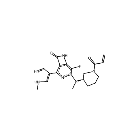 C=CC(=O)N1CCC[C@@H](N(C)c2nc(/C(C=N)=C/NC)c3c(c2F)NC3=O)C1